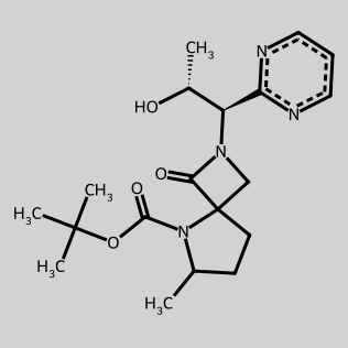 CC1CCC2(CN([C@H](c3ncccn3)[C@@H](C)O)C2=O)N1C(=O)OC(C)(C)C